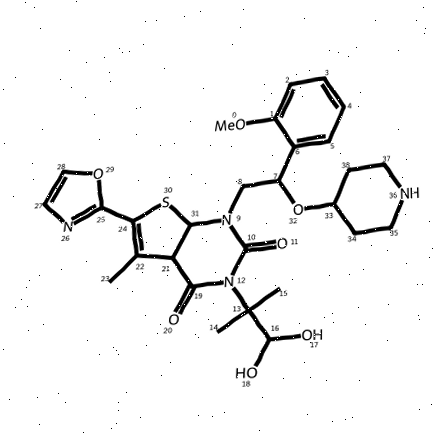 COc1ccccc1C(CN1C(=O)N(C(C)(C)C(O)O)C(=O)C2C(C)=C(c3ncco3)SC21)OC1CCNCC1